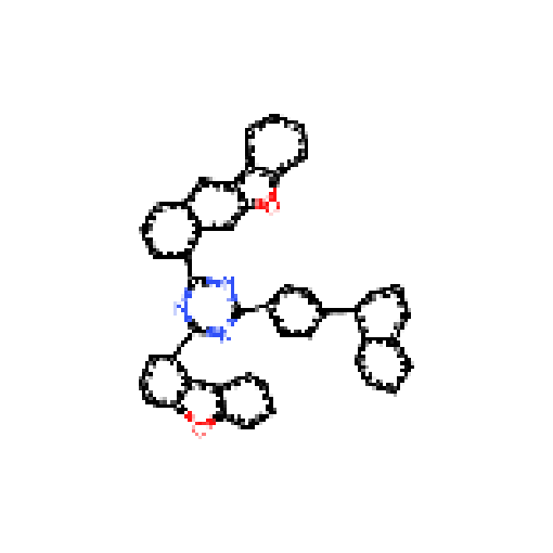 c1ccc2c(-c3ccc(-c4nc(-c5cccc6cc7c(cc56)oc5ccccc57)nc(-c5cccc6oc7ccccc7c56)n4)cc3)cccc2c1